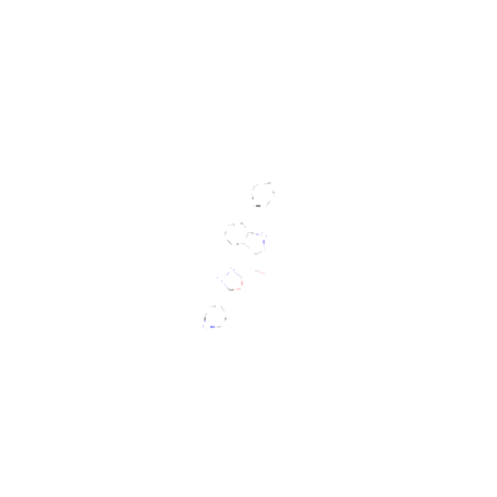 COc1ccc2c(c1)c(C(=O)c1nnc(-c3ccncc3)o1)c(C(F)(F)F)n2Cc1ccc(Cl)cc1